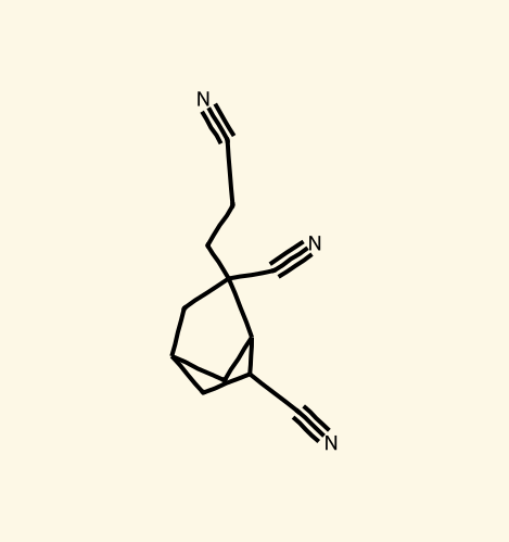 N#CCCC1(C#N)CC2CC(C#N)C1C2